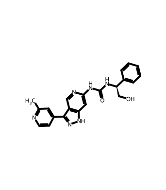 Cc1cc(-c2n[nH]c3cc(NC(=O)N[C@H](CO)c4ccccc4)ncc23)ccn1